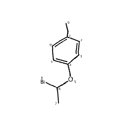 Cc1ccc(OC(C)Br)cc1